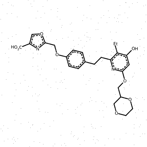 CCc1c(O)cc(OCC2COCCO2)nc1CCc1ccc(OCc2nc(C(=O)O)co2)cc1